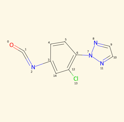 O=C=Nc1ccc(-n2nccn2)c(Cl)c1